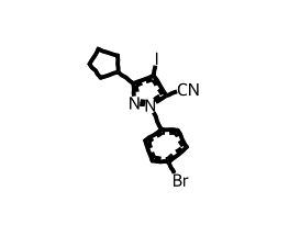 N#Cc1c(I)c(C2CCCC2)nn1-c1ccc(Br)cc1